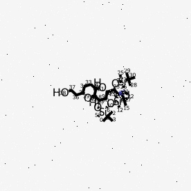 CC(C)(C)[Si](C)(C)O[C@@H]1[C@H](O[Si](C)(C)C(C)(C)C)[C@H]([C@H](/C=C/I)O[Si](C)(C)C(C)(C)C)O[C@H]2CCC(CCO)O[C@H]12